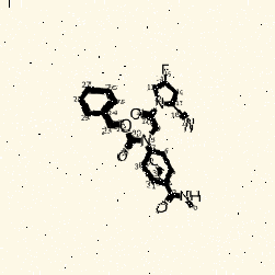 CNC(=O)C12CCC(N(CC(=O)N3C[C@@H](F)C[C@H]3C#N)C(=O)OCc3ccccc3)(CC1)CC2